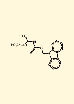 O=C(O)B[C@H](NC(=O)OCC1c2ccccc2-c2ccccc21)C(=O)O